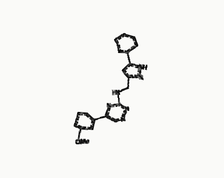 COc1cccc(-c2cnnc(NCc3cc(-c4ccccc4)[nH]n3)n2)c1